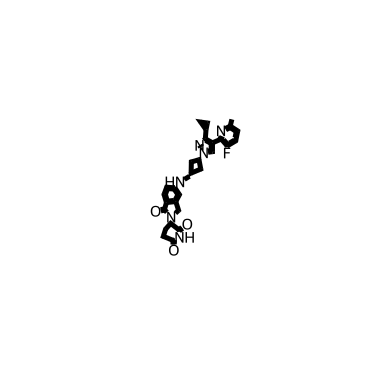 Cc1ccc(F)c(-c2cn([C@H]3C[C@H](CNc4ccc5c(c4)CN([C@H]4CCC(=O)NC4=O)C5=O)C3)nc2C2CC2)n1